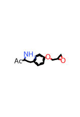 CC(=O)C(N)Cc1ccc(OCC2CO2)cc1